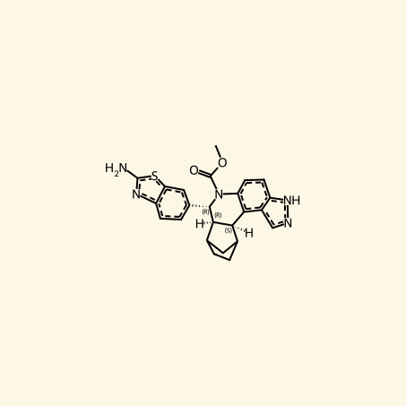 COC(=O)N1c2ccc3[nH]ncc3c2[C@H]2C3CCC(C3)[C@H]2[C@@H]1c1ccc2nc(N)sc2c1